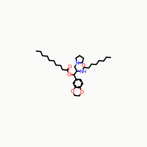 CCCCCCCCCC(=O)OC(c1ccc2c(c1)OCCO2)C(CN1CCCC1)NC(=O)CCCCCCC